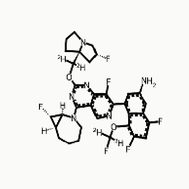 [2H]C([2H])(F)Oc1c(F)cc(F)c2cc(N)cc(-c3ncc4c(N5CCCC[C@H]6[C@H](F)[C@H]65)nc(OC([2H])([2H])[C@@]56CCCN5C[C@H](F)C6)nc4c3F)c12